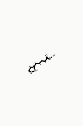 O=NC(=O)CCCCC1CCSS1